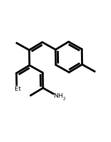 CC/C=C(\C=C(/C)N)C(/C)=C\c1ccc(C)cc1